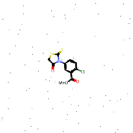 COC(=O)c1cc(N2C(=O)CSC2=S)ccc1Cl